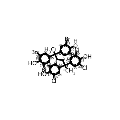 CC(CCC(C)(c1cc(Br)c(O)c(Br)c1)c1cc(Br)c(O)c(Br)c1)(c1cc(Cl)c(O)c(Cl)c1)c1cc(Cl)c(O)c(Cl)c1